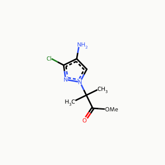 COC(=O)C(C)(C)n1cc(N)c(Cl)n1